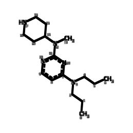 CCCN(CCC)c1ccnc(N(C)C2CCNCC2)n1